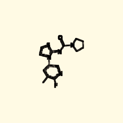 Cc1cc(-n2ccs/c2=N\C(=O)N2CCCC2)cnc1F